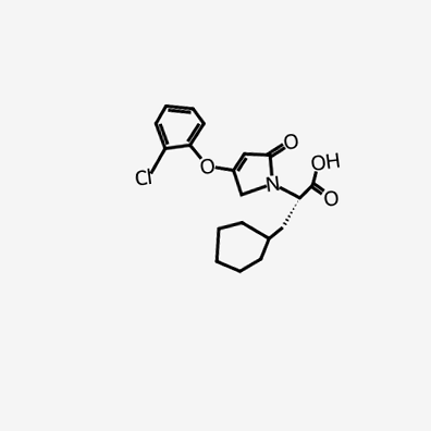 O=C(O)[C@H](CC1CCCCC1)N1CC(Oc2ccccc2Cl)=CC1=O